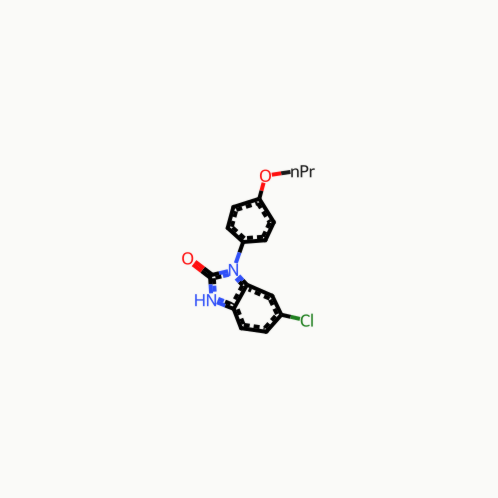 CCCOc1ccc(-n2c(=O)[nH]c3ccc(Cl)cc32)cc1